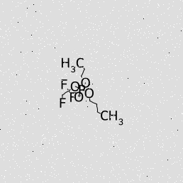 CCCCOP(=O)(OCCC)OC(F)(F)CF